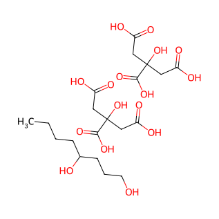 CCCCC(O)CCCO.O=C(O)CC(O)(CC(=O)O)C(=O)O.O=C(O)CC(O)(CC(=O)O)C(=O)O